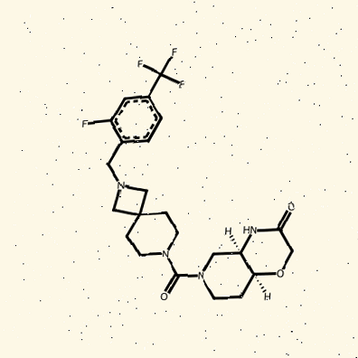 O=C1CO[C@H]2CCN(C(=O)N3CCC4(CC3)CN(Cc3ccc(C(F)(F)F)cc3F)C4)C[C@H]2N1